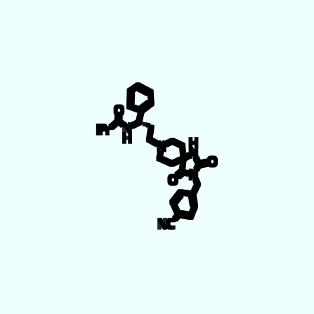 CC(C)C(=O)N[C@@H](CCN1CCC2(CC1)NC(=O)N(Cc1ccc(C#N)cc1)C2=O)c1ccccc1